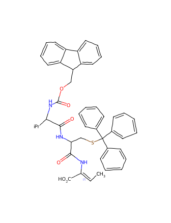 C/C=C(\NC(=O)C(CSC(c1ccccc1)(c1ccccc1)c1ccccc1)NC(=O)C(NC(=O)OCC1c2ccccc2-c2ccccc21)C(C)C)C(=O)O